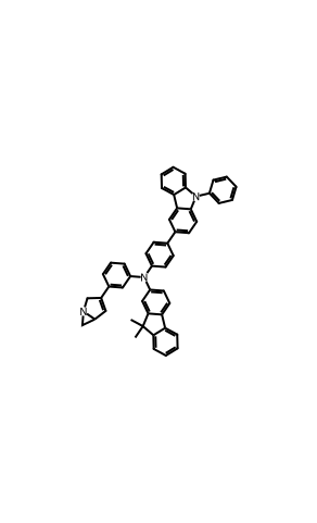 CC1(C)c2ccccc2-c2ccc(N(c3ccc(-c4ccc5c(c4)c4ccccc4n5-c4ccccc4)cc3)c3cccc(C4=CC5CN5C4)c3)cc21